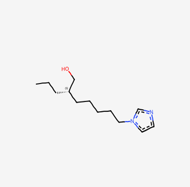 CCC[C@H](CO)CCCCCn1ccnc1